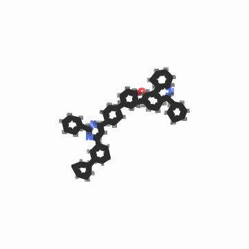 c1ccc(-c2cccc(-c3cc(-c4ccc(-c5ccc6oc7c(ccc8c(-c9ccccc9)nc9ccccc9c87)c6c5)cc4)nc(-c4ccccc4)n3)c2)cc1